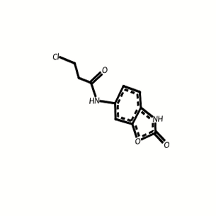 O=C(CCCl)Nc1ccc2[nH]c(=O)oc2c1